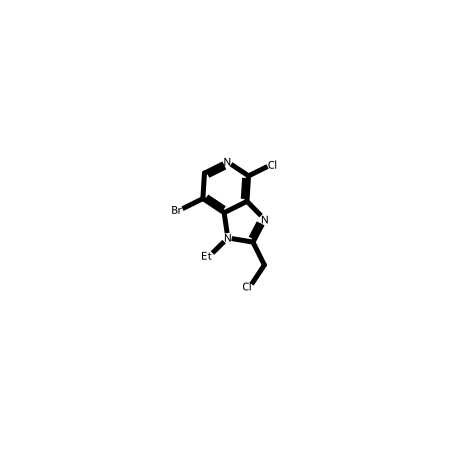 CCn1c(CCl)nc2c(Cl)ncc(Br)c21